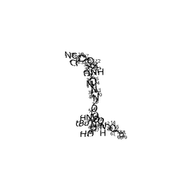 CC(C)(C)C(NC(=O)COCCN1CCN(c2ccc(C(=O)NC3C(C)(C)C(Oc4ccc(C#N)c(Cl)c4)C3(C)C)cn2)CC1)C(=O)N1C[C@H](O)C[C@H]1C(=O)NCc1ccc(C2CCC2)cc1